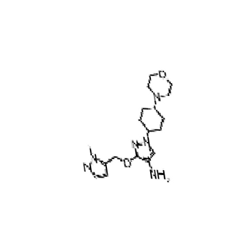 Cn1nccc1COc1nn(C2CCC(N3CCOCC3)CC2)cc1N